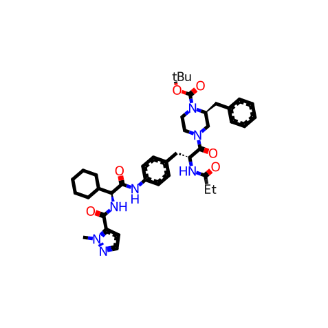 CCC(=O)N[C@H](Cc1ccc(NC(=O)[C@@H](NC(=O)c2ccnn2C)C2CCCCC2)cc1)C(=O)N1CCN(C(=O)OC(C)(C)C)[C@@H](Cc2ccccc2)C1